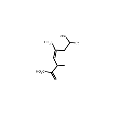 C=C(C(=O)O)C(C)C=C(CC(CC)CCCC)C(=O)O